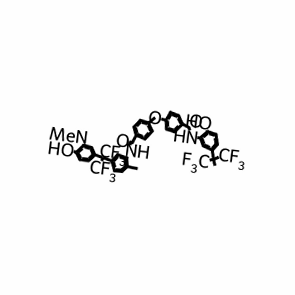 CNc1cc(C(c2ccc(C)c(NC(=O)c3ccc(Oc4ccc(C(=O)Nc5cc(C(C)(C(F)(F)F)C(F)(F)F)ccc5O)cc4)cc3)c2)(C(F)(F)F)C(F)(F)F)ccc1O